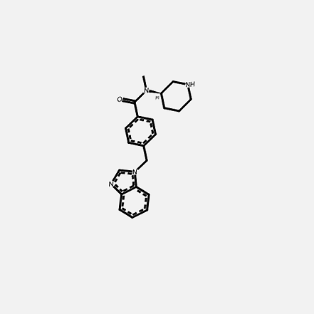 CN(C(=O)c1ccc(Cn2cnc3ccccc32)cc1)[C@@H]1CCCNC1